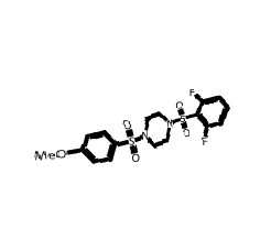 [11CH3]Oc1ccc(S(=O)(=O)N2CCN(S(=O)(=O)c3c(F)cccc3F)CC2)cc1